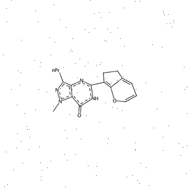 CCCc1nn(C)c2c(=O)[nH]c(C3=C4OC=CC=C4CC3)nc12